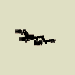 C/C(=C\CSC[C@H](NC(=O)COCC(=O)O)C(=O)O)CCCC(C)CCCC(C)CCCC(C)C.[NaH].[NaH]